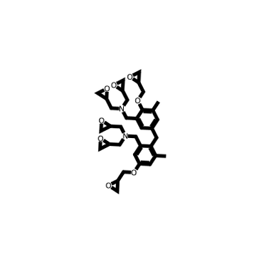 Cc1cc(OCC2CO2)cc(CN(CC2CO2)CC2CO2)c1Cc1cc(C)c(OCC2CO2)c(CN(CC2CO2)CC2CO2)c1